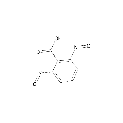 O=Nc1cccc(N=O)c1C(=O)O